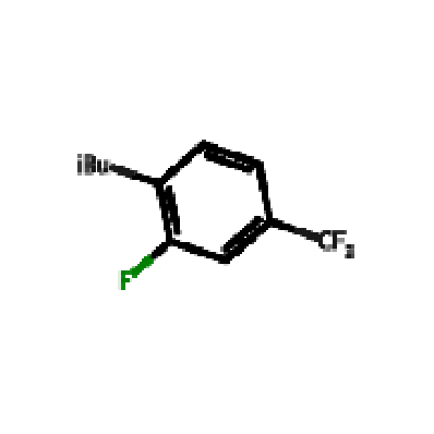 CCC(C)c1ccc(C(F)(F)F)cc1F